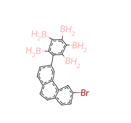 Bc1c(B)c(B)c(-c2ccc3ccc4ccc(Br)cc4c3c2)c(B)c1B